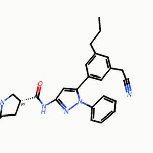 C=C1C[C@@H](C(=O)Nc2cc(-c3cc(CC#N)cc(CCC)c3)n(-c3ccccc3)n2)CN1